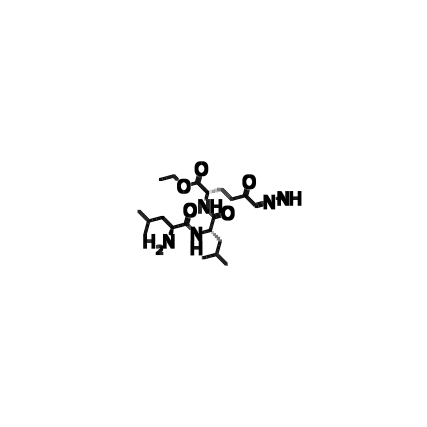 CCOC(=O)[C@H](CCC(=O)C=[N+]=N)NC(=O)[C@H](CC(C)C)NC(=O)[C@@H](N)CC(C)C